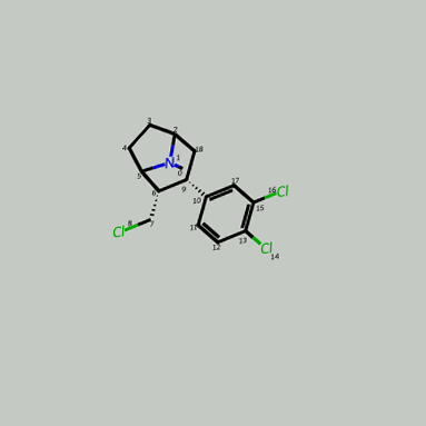 CN1C2CCC1[C@@H](CCl)[C@@H](c1ccc(Cl)c(Cl)c1)C2